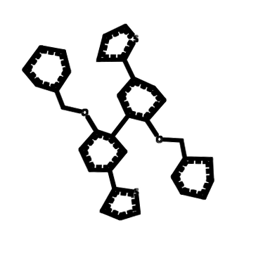 c1ccc(COc2ccc(-c3cccs3)cc2-c2cc(-c3cccs3)ccc2OCc2ccccc2)cc1